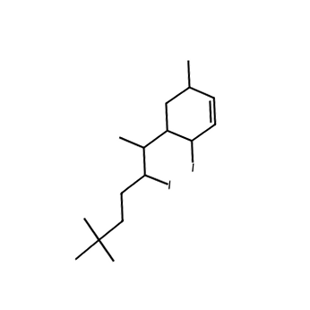 CC1C=CC(I)C(C(C)C(I)CCC(C)(C)C)C1